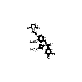 CCC(c1ccc(Cl)c(Cl)c1)N(Cc1ccc(OCCN2C(=O)CCC2=O)c(OC)c1)C1CC(C(=O)O)C1